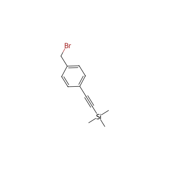 C[Si](C)(C)C#Cc1ccc(CBr)cc1